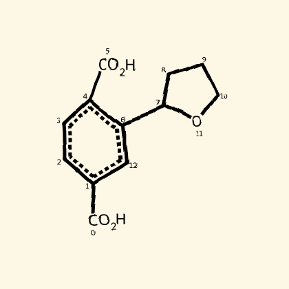 O=C(O)c1ccc(C(=O)O)c(C2CCCO2)c1